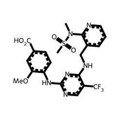 COc1cc(C(=O)O)ccc1Nc1ncc(C(F)(F)F)c(NCc2cccnc2N(C)S(C)(=O)=O)n1